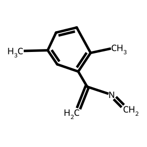 C=NC(=C)c1cc(C)ccc1C